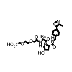 Cc1ncsc1-c1ccc(CNC(=O)[C@@H]2C[C@H](O)CN2C(=O)C(NC(=O)COCCOCC(=O)O)C(C)(C)C)cc1